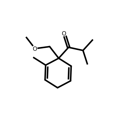 COCC1(C(=O)C(C)C)C=CCC=C1C